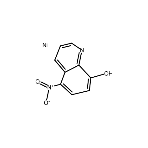 O=[N+]([O-])c1ccc(O)c2ncccc12.[Ni]